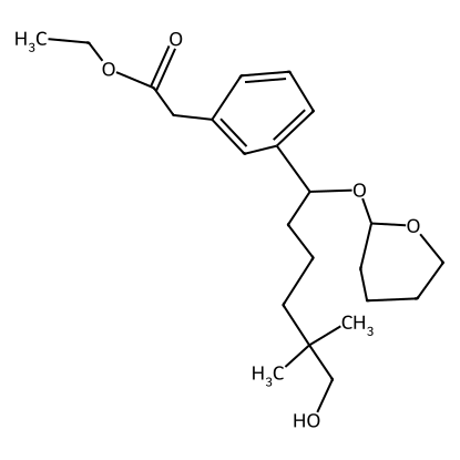 CCOC(=O)Cc1cccc(C(CCCC(C)(C)CO)OC2CCCCO2)c1